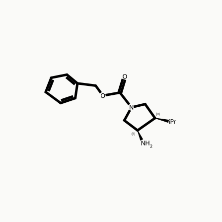 CC(C)[C@@H]1CN(C(=O)OCc2ccccc2)C[C@@H]1N